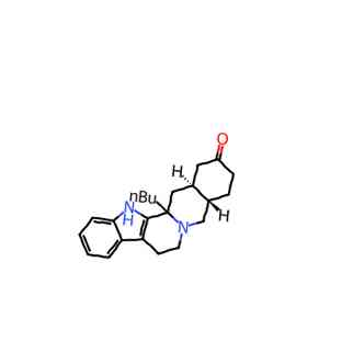 CCCCC12C[C@H]3CC(=O)CC[C@@H]3CN1CCc1c2[nH]c2ccccc12